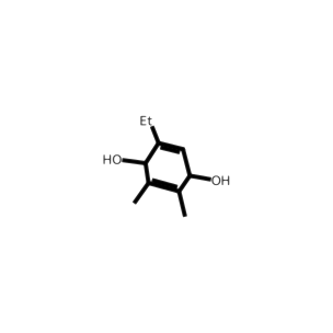 CCC1=CC(O)C(C)=C(C)C1O